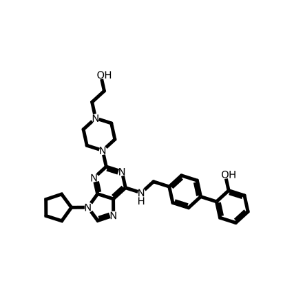 OCCN1CCN(c2nc(NCc3ccc(-c4ccccc4O)cc3)c3ncn(C4CCCC4)c3n2)CC1